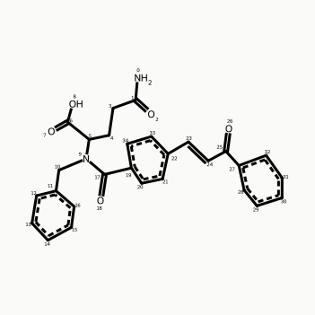 NC(=O)CCC(C(=O)O)N(Cc1ccccc1)C(=O)c1ccc(C=CC(=O)c2ccccc2)cc1